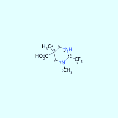 CN1CC(C)(C(=O)O)CNC1C(F)(F)F